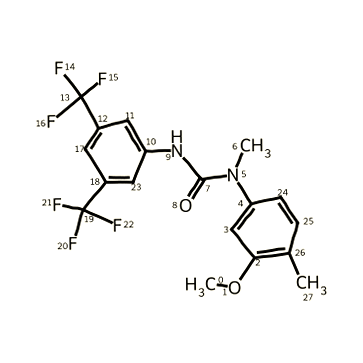 COc1cc(N(C)C(=O)Nc2cc(C(F)(F)F)cc(C(F)(F)F)c2)ccc1C